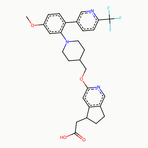 COc1ccc(-c2ccc(C(F)(F)F)nc2)c(N2CCC(COc3cc4c(cn3)CCC4CC(=O)O)CC2)c1